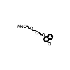 COCCOCCOCCOc1ccc(Cl)c2ccccc12